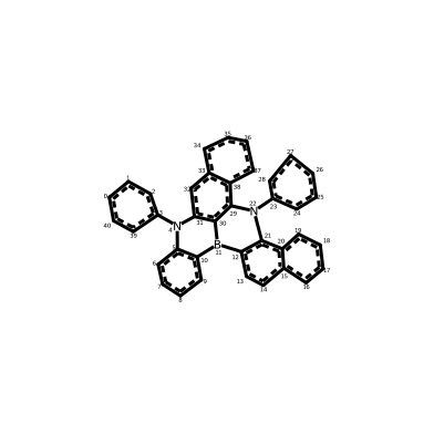 c1ccc(N2c3ccccc3B3c4ccc5ccccc5c4N(c4ccccc4)c4c3c2cc2ccccc42)cc1